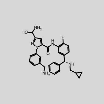 NCc1cccc(-n2nc(C(N)O)cc2C(=O)Nc2cc([C@H](NCC3CC3)c3ccccc3)ccc2F)c1